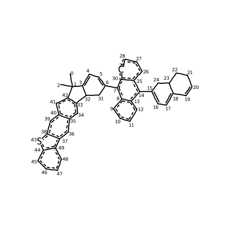 CC1(C)C2=CC=C(c3c4ccccc4c(C4=CC=C5C=CCCC5C4)c4ccccc34)CC2c2cc3cc4c(cc3cc21)sc1ccccc14